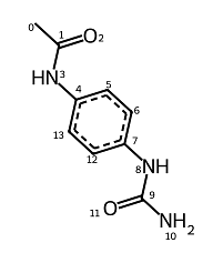 CC(=O)Nc1ccc(NC(N)=O)cc1